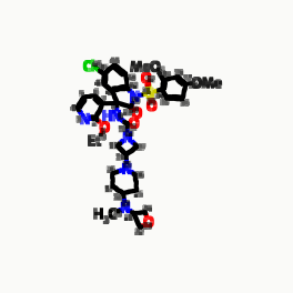 CCOc1ncccc1C1(NC(=O)N2CC(N3CCC(N(C)C4COC4)CC3)C2)C(=O)N(S(=O)(=O)c2ccc(OC)cc2OC)c2ccc(Cl)cc21